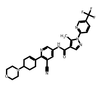 Cc1c(C(=O)Nc2cnc(C3=CCC(N4CCOCC4)CC3)c(C#N)c2)cnn1-c1ccc(C(F)(F)F)cn1